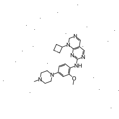 COc1cc(N2CCN(C)CC2)ccc1Nc1ncc2c(n1)N(C1CCC1)CN=C2